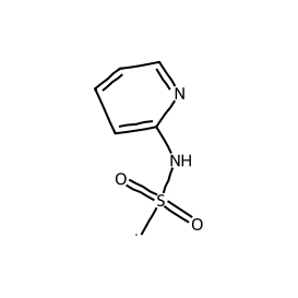 [CH2]S(=O)(=O)Nc1ccccn1